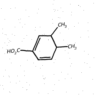 CC1C=CC(C(=O)O)=CC1C